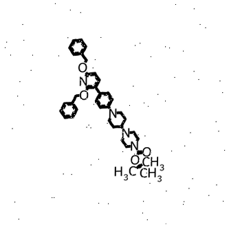 CC(C)(C)OC(=O)N1CCN(C2CCN(c3ccc(-c4ccc(OCc5ccccc5)nc4OCc4ccccc4)cc3)CC2)CC1